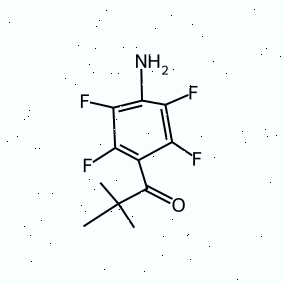 CC(C)(C)C(=O)c1c(F)c(F)c(N)c(F)c1F